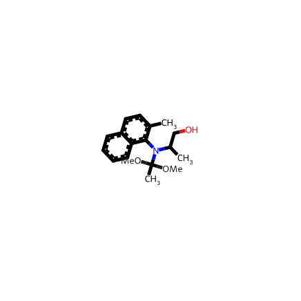 COC(C)(OC)N(c1c(C)ccc2ccccc12)C(C)CO